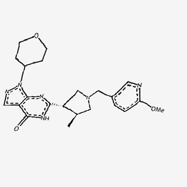 COc1ccc(CN2C[C@@H](C)[C@H](c3nc4c(cnn4C4CCOCC4)c(=O)[nH]3)C2)cn1